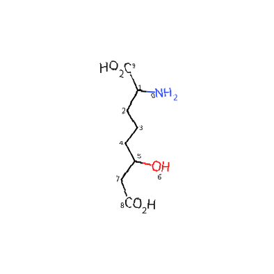 NC(CCCC(O)CC(=O)O)C(=O)O